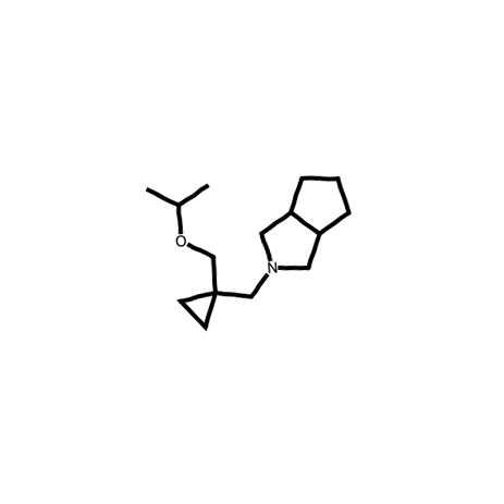 CC(C)OCC1(CN2CC3CCCC3C2)CC1